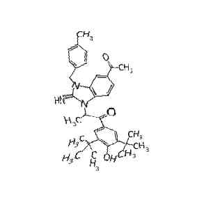 CC(=O)c1ccc2c(c1)n(Cc1ccc(C)cc1)c(=N)n2C(C)C(=O)c1cc(C(C)(C)C)c(O)c(C(C)(C)C)c1